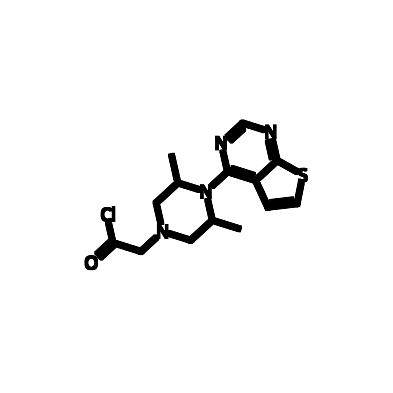 CC1CN(CC(=O)Cl)CC(C)N1c1ncnc2sccc12